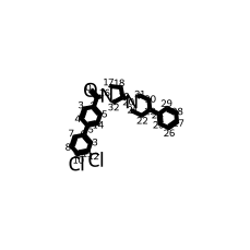 O=C(c1ccc(-c2ccc(Cl)c(Cl)c2)cc1)N1CCC(N2CCC(c3ccccc3)CC2)C1